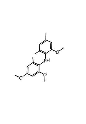 COc1cc(C)c(Pc2c(C)cc(C)cc2OC)c(OC)c1